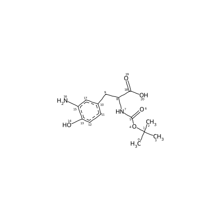 CC(C)(C)OC(=O)NC(Cc1ccc(O)c(N)c1)C(=O)O